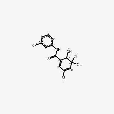 O=C(Nc1cccc(Cl)c1)C1=CC(Cl)=CC(Cl)(Cl)C1O